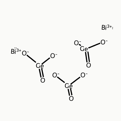 [Bi+3].[Bi+3].[O]=[Ge]([O-])[O-].[O]=[Ge]([O-])[O-].[O]=[Ge]([O-])[O-]